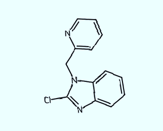 Clc1nc2ccccc2n1Cc1ccccn1